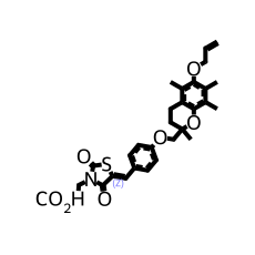 C=CCOc1c(C)c(C)c2c(c1C)CCC(C)(COc1ccc(/C=C3\SC(=O)N(CC(=O)O)C3=O)cc1)O2